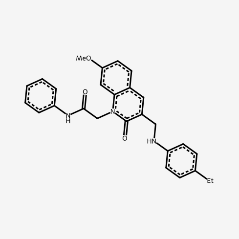 CCc1ccc(NCc2cc3ccc(OC)cc3n(CC(=O)Nc3ccccc3)c2=O)cc1